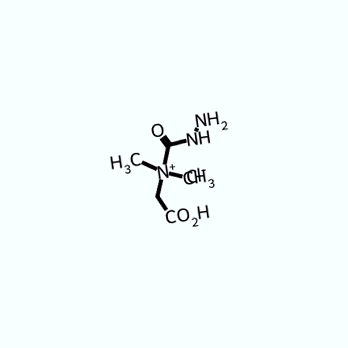 C[N+](C)(CC(=O)O)C(=O)NN.[Cl-]